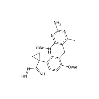 CCCCNc1nc(N)nc(C)c1Cc1cc(C2(C(=N)N=N)CC2)ccc1OC